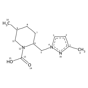 Cc1ccn(CC2CCC(C)CN2C(=O)O)n1